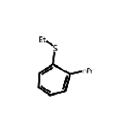 [CH2]CCc1ccccc1SCC